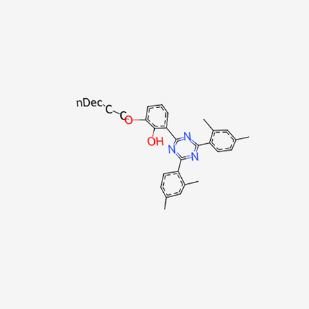 CCCCCCCCCCCCOc1cccc(-c2nc(-c3ccc(C)cc3C)nc(-c3ccc(C)cc3C)n2)c1O